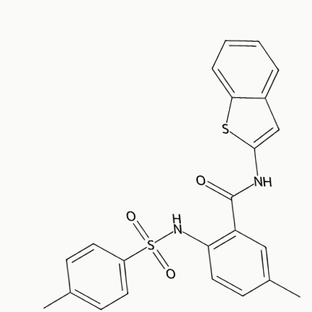 Cc1ccc(S(=O)(=O)Nc2ccc(C)cc2C(=O)Nc2cc3ccccc3s2)cc1